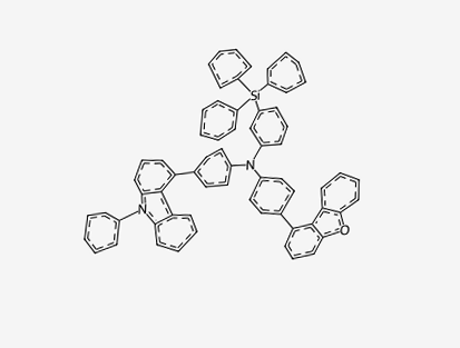 c1ccc(-n2c3ccccc3c3c(-c4ccc(N(c5ccc(-c6cccc7oc8ccccc8c67)cc5)c5cccc([Si](c6ccccc6)(c6ccccc6)c6ccccc6)c5)cc4)cccc32)cc1